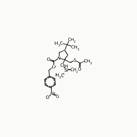 CC(=O)SCC1(O[SiH](C)C)CC(C(C)(C)C)CN1C(=O)OCc1ccc([N+](=O)[O-])cc1